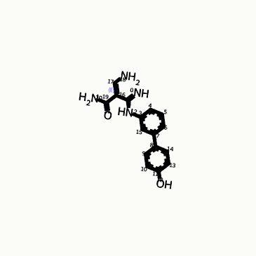 N=C(Nc1cccc(-c2ccc(O)cc2)c1)/C(=C\N)C(N)=O